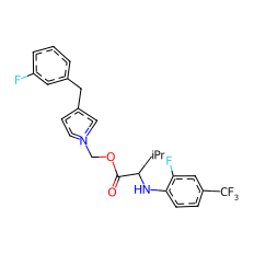 CC(C)C(Nc1ccc(C(F)(F)F)cc1F)C(=O)OCn1ccc(Cc2cccc(F)c2)c1